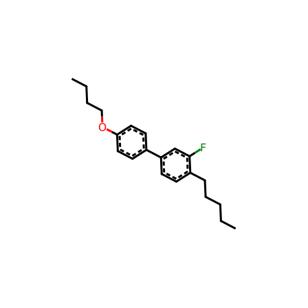 CCCCCc1ccc(-c2ccc(OCCCC)cc2)cc1F